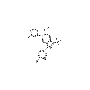 COc1cc2c(nc1-c1cccc(C)c1C)c(-c1ccc(F)nc1)nn2C(C)(C)C